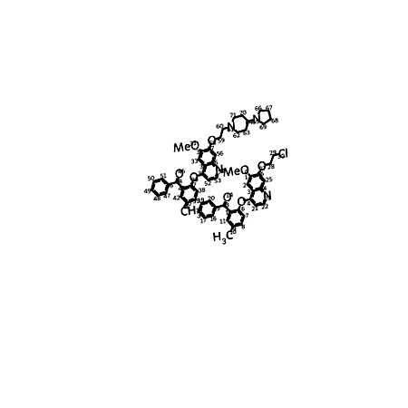 COc1cc2c(Oc3ccc(C)cc3C(=O)c3ccccc3)ccnc2cc1OCCCl.COc1cc2c(Oc3ccc(C)cc3C(=O)c3ccccc3)ccnc2cc1OCCN1CCC(N2CCCC2)CC1